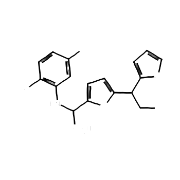 Cc1ccc(Cl)cc1NC(C(=O)O)c1ccc(C(CS)c2ccco2)o1